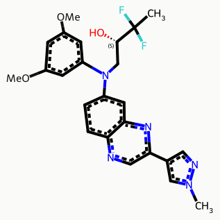 COc1cc(OC)cc(N(C[C@H](O)C(C)(F)F)c2ccc3ncc(-c4cnn(C)c4)nc3c2)c1